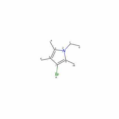 CCn1c(C)c(C)c(Br)c1C